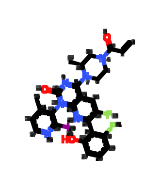 C=CC(=O)N1CCN(c2nc(=O)n(-c3c(C)ccnc3I)c3nc(-c4c(O)cccc4F)c(F)cc23)[C@@H](C)C1